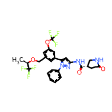 C[C@@H](OCc1cc(OC(F)(F)F)cc(-c2cc(NC(=O)[C@@H]3CNC(=O)C3)nn2-c2ccccc2)c1)C(F)(F)F